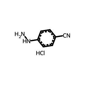 Cl.N#Cc1ccc(NN)cc1